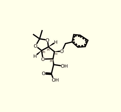 CC1(C)O[C@H]2O[C@H](C(O)C(=O)O)[C@H](OCc3ccccc3)[C@H]2O1